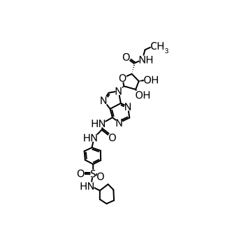 CCNC(=O)[C@H]1O[C@@H](n2cnc3c(NC(=O)Nc4ccc(S(=O)(=O)NC5CCCCC5)cc4)ncnc32)[C@H](O)[C@@H]1O